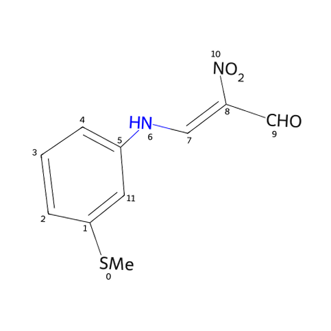 CSc1cccc(N/C=C(/C=O)[N+](=O)[O-])c1